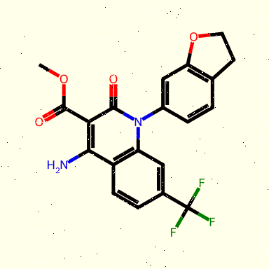 COC(=O)c1c(N)c2ccc(C(F)(F)F)cc2n(-c2ccc3c(c2)OCC3)c1=O